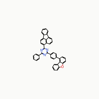 c1ccc(-c2nc(-c3ccc(-c4cccc5oc6ccccc6c45)cc3)nc(-c3ccc4c5c(cccc35)-c3ccccc3-4)n2)cc1